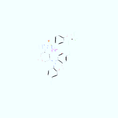 CN=S(=O)(NC1COCC(N2c3ccc(F)cc3Oc3cc(F)ccc32)C1O)c1ccc(OC(F)(F)F)cc1